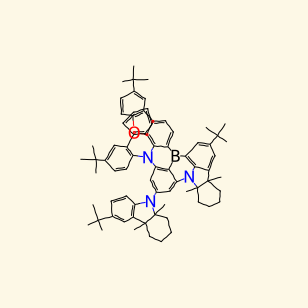 CC(C)(C)c1ccc(N2c3cc(N4c5ccc(C(C)(C)C)cc5C5(C)CCCCC45C)cc4c3B(c3cc(C(C)(C)C)cc5c3N4C3(C)CCCCC53C)c3ccc4c(oc5ccc(C(C)(C)C)cc54)c32)c(-c2ccccc2)c1